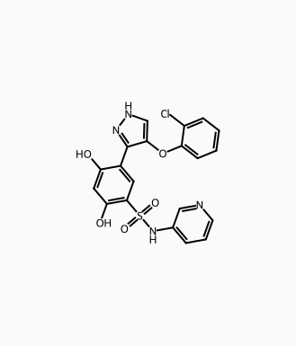 O=S(=O)(Nc1cccnc1)c1cc(-c2n[nH]cc2Oc2ccccc2Cl)c(O)cc1O